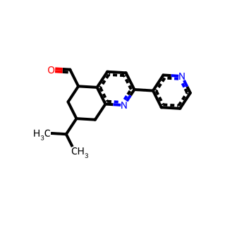 CC(C)C1Cc2nc(-c3cccnc3)ccc2C(C=O)C1